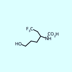 O=C(O)NC(CCCO)CC(F)(F)F